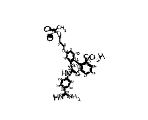 CS(=O)(=O)OCCOc1ccc(-c2ccccc2C(=O)O)c(C(=O)Nc2ccc(C(=N)N)cc2)c1